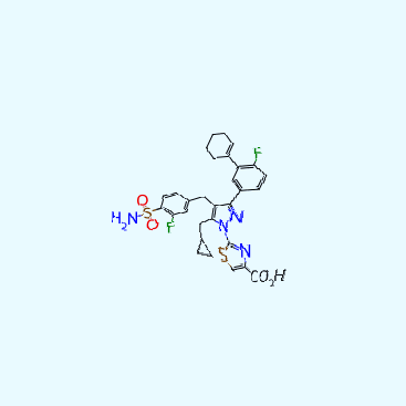 NS(=O)(=O)c1ccc(Cc2c(-c3ccc(F)c(C4=CCCCC4)c3)nn(-c3nc(C(=O)O)cs3)c2CC2CC2)cc1F